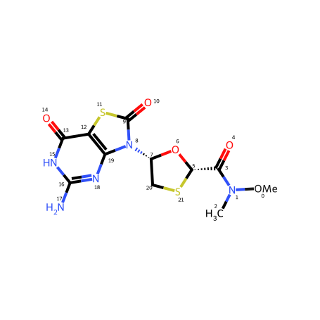 CON(C)C(=O)[C@H]1O[C@@H](n2c(=O)sc3c(=O)[nH]c(N)nc32)CS1